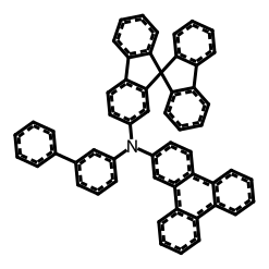 c1ccc(-c2cccc(N(c3ccc4c(c3)C3(c5ccccc5-c5ccccc53)c3ccccc3-4)c3ccc4c5ccccc5c5ccccc5c4c3)c2)cc1